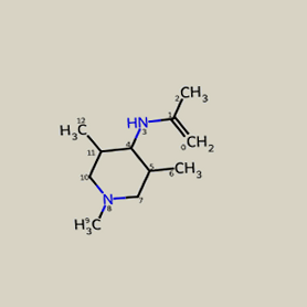 C=C(C)NC1C(C)CN(C)CC1C